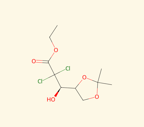 CCOC(=O)C(Cl)(Cl)[C@H](O)C1COC(C)(C)O1